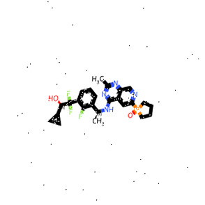 Cc1nc(N[C@H](C)c2cccc(C(F)(F)[C@H](O)C3CC3)c2F)c2cc(P3(=O)CCCC3)ncc2n1